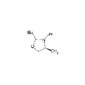 CC(C)N1C(C(C)(C)C)OC[C@@H]1C